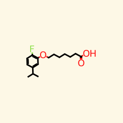 CC(C)c1ccc(F)c(OCCCCCCC(=O)O)c1